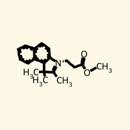 COC(=O)CC[N+]1=C(C)C(C)(C)c2c1ccc1ccccc21